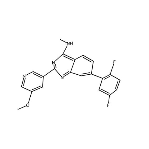 CNc1nc(-c2cncc(OC)c2)nc2cc(-c3cc(F)ccc3F)ccc12